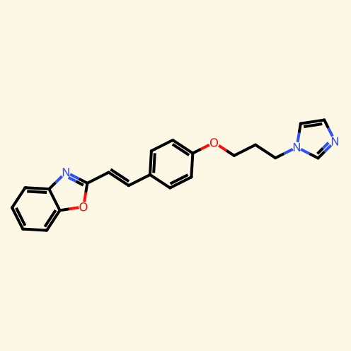 C(=Cc1nc2ccccc2o1)c1ccc(OCCCn2ccnc2)cc1